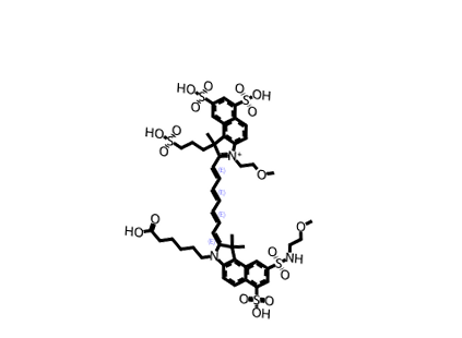 COCCNS(=O)(=O)c1cc(S(=O)(=O)O)c2ccc3c(c2c1)C(C)(C)\C(=C/C=C/C=C/C=C/C1=[N+](CCOC)c2ccc4c(S(=O)(=O)O)cc(S(=O)(=O)O)cc4c2C1(C)CCCS(=O)(=O)O)N3CCCCCC(=O)O